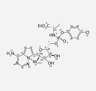 CCOC(=O)[C@H](C)NP(=O)(OC[C@H]1O[C@@](C#N)(c2ccc3c(N)ncnn23)[C@](C)(O)[C@@H]1O)Oc1ccc(Cl)cc1